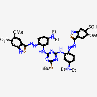 CCCCSc1nc(Nc2cc(N(CC)CC)ccc2/N=N/c2snc3cc(S(=O)(=O)O)c(OC)cc23)nc(Nc2cc(N(CC)CC)ccc2/N=N/c2snc3cc(S(=O)(=O)O)c(OC)cc23)n1